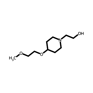 COCCOC1CCN(CCO)CC1